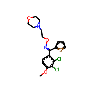 COc1ccc(C(=NOCCN2CCOCC2)c2cccs2)c(Cl)c1Cl